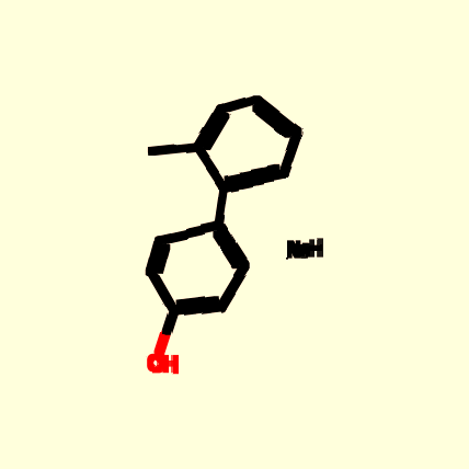 Cc1ccccc1-c1ccc(O)cc1.[NaH]